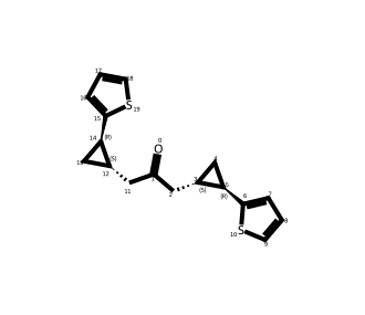 O=C(C[C@@H]1C[C@H]1c1cccs1)C[C@@H]1C[C@H]1c1cccs1